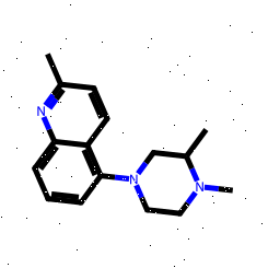 Cc1ccc2c(N3CCN(C)C(C)C3)cccc2n1